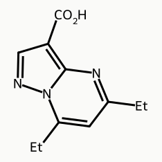 CCc1cc(CC)n2ncc(C(=O)O)c2n1